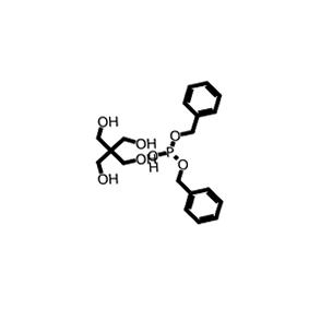 OCC(CO)(CO)CO.OP(OCc1ccccc1)OCc1ccccc1